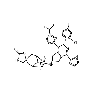 O=C1NCC2(CC3CCC(C2)N3S(=O)(=O)N[C@H]2CC3=C(c4ccn(C(F)F)n4)[C@H](c4ccc(F)cc4Cl)N=C(c4nccs4)N3C2)O1